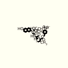 CC1=C(C(=O)OCc2ccc([N+](=O)[O-])cc2)N2C(=O)C(NC(=O)CN(C(=O)OC(C)(C)C)c3ccc4cc(O)ccc4c3)[C@@H]2SC1